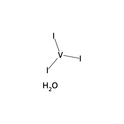 O.[I][V]([I])[I]